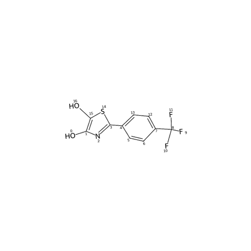 Oc1nc(-c2ccc(C(F)(F)F)cc2)sc1O